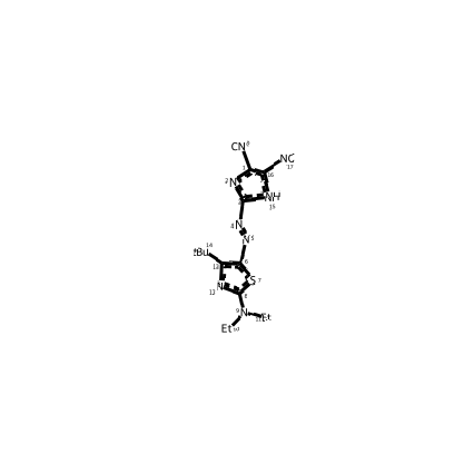 [C-]#[N+]c1nc(/N=N/c2sc(N(CC)CC)nc2C(C)(C)C)[nH]c1[N+]#[C-]